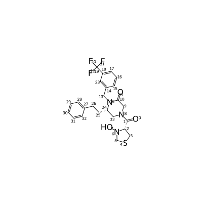 O=C([C@@H]1CSCN1O)N1CC(=O)N(Cc2cccc(C(F)(F)F)c2)[C@@H](CCc2ccccc2)C1